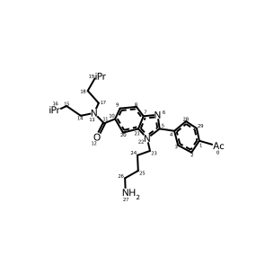 CC(=O)c1ccc(-c2nc3ccc(C(=O)N(CCC(C)C)CCC(C)C)cc3n2CCCCN)cc1